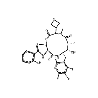 C[C@H]1OC(=O)C(C2COC2)N(C)C(=O)[C@H](C)[C@H](O)[C@H](Cc2c(F)nc(F)c(F)c2F)NC(=O)[C@H]1NC(=O)c1ccccc1O